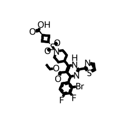 CCOC(=O)C1=C(C2CCN(S(=O)(=O)[C@H]3C[C@H](C(=O)O)C3)CC2)NC(c2nccs2)=NC1c1ccc(F)c(F)c1Br